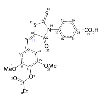 CCC(=O)Oc1c(OC)cc(/C=C2/SC(=S)N(c3ccc(C(=O)O)cc3)C2=O)cc1OC